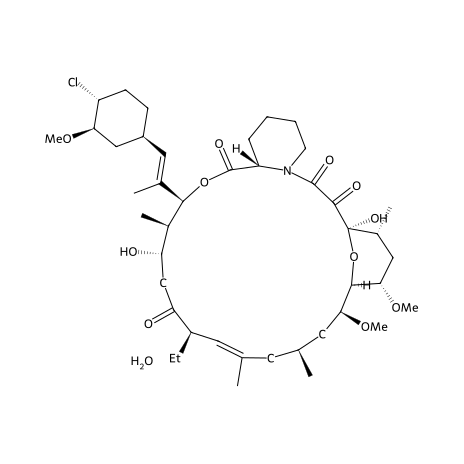 CC[C@@H]1/C=C(\C)C[C@H](C)C[C@H](OC)[C@H]2O[C@@](O)(C(=O)C(=O)N3CCCC[C@H]3C(=O)O[C@H](/C(C)=C/[C@@H]3CC[C@@H](Cl)[C@H](OC)C3)[C@H](C)[C@@H](O)CC1=O)[C@H](C)C[C@@H]2OC.O